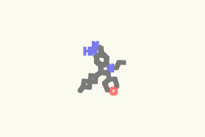 CCCn1c(C2CCOCC2)c(C2CC3(CC(C)C3)C2)c2cc3[nH]ncc3cc21